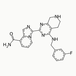 NC(=O)c1cccn2c(-c3nc4c(c(NCc5cccc(F)c5)n3)CCNC4)ncc12